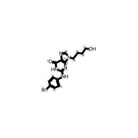 O=c1[nH]c(Nc2ccc(Br)cc2)nc2c1ncn2CCCCO